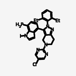 CCc1cccc(CC)c1-n1nc2c(c1-c1ccc(P)c3c1ccn3I)CN(c1ncc(Cl)cn1)CC2